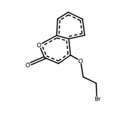 O=c1cc(OCCBr)c2ccccc2o1